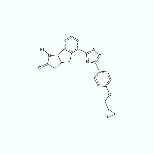 CCN1C(=O)CC2Cc3c(-c4noc(-c5ccc(OCC6CC6)cc5)n4)cccc3C21